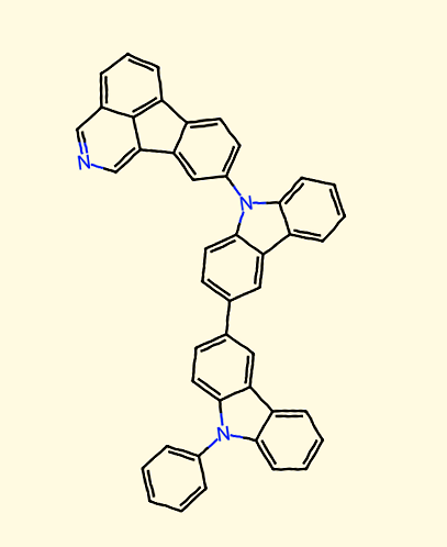 c1ccc(-n2c3ccccc3c3cc(-c4ccc5c(c4)c4ccccc4n5-c4ccc5c(c4)-c4cncc6cccc-5c46)ccc32)cc1